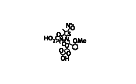 COc1ccccc1C(Cn1c(=O)n(C(C)(C)C(=O)O)c(=O)c2c(C)c(-c3ncco3)sc21)OC1COC2C(O)COC12